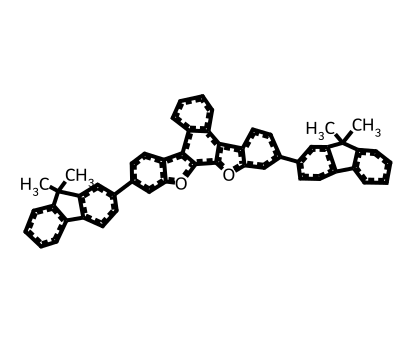 CC1(C)c2ccccc2-c2ccc(-c3ccc4c(c3)oc3c5oc6cc(-c7ccc8c(c7)C(C)(C)c7ccccc7-8)ccc6c5c5ccccc5c43)cc21